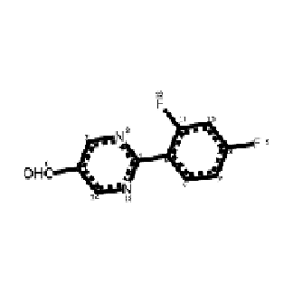 O=Cc1cnc(-c2ccc(F)cc2F)nc1